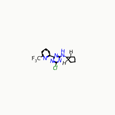 FC(F)(F)c1cccc(-c2nc(Cl)nc(N[C@H]3[C@@H]4CCC[C@@H]43)n2)n1